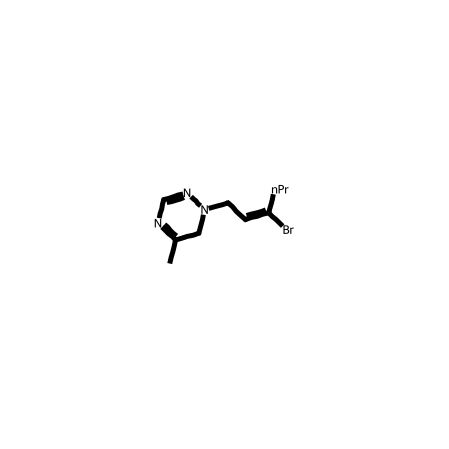 CCC/C(Br)=C\CN1CC(C)=NC=N1